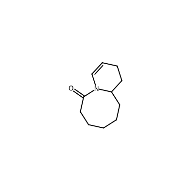 O=C1CCCCCC2CCC=CN12